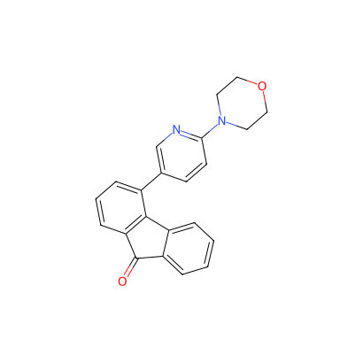 O=C1c2ccccc2-c2c1cccc2-c1ccc(N2CCOCC2)nc1